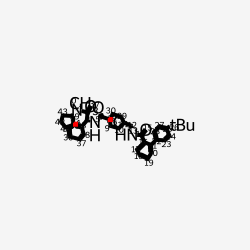 CN(C(=O)[C@@H](NC(=O)C12CCC(CNC(=O)c3ccccc3-c3ccc(C(C)(C)C)cc3)(CC1)CC2)c1ccccc1)C1CCCC1